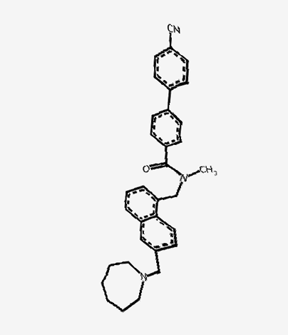 CN(Cc1cccc2cc(CN3CCCCCC3)ccc12)C(=O)c1ccc(-c2ccc(C#N)cc2)cc1